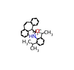 CC(C)c1cccc(C(C)C)c1NC(=O)C1c2ccccc2C=Cc2ccccc21